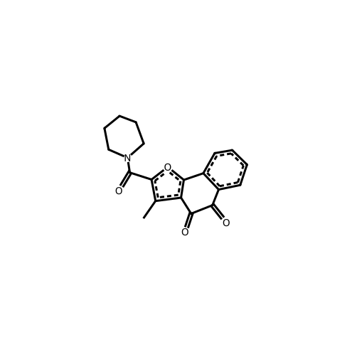 Cc1c(C(=O)N2CCCCC2)oc2c1C(=O)C(=O)c1ccccc1-2